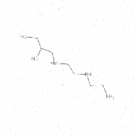 NCCNCCNCC(O)CO